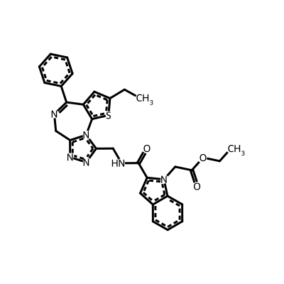 CCOC(=O)Cn1c(C(=O)NCc2nnc3n2-c2sc(CC)cc2C(c2ccccc2)=NC3)cc2ccccc21